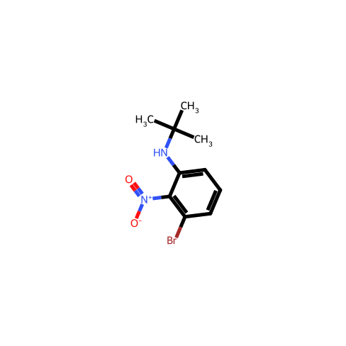 CC(C)(C)Nc1cccc(Br)c1[N+](=O)[O-]